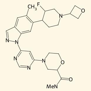 CNC(=O)C1CN(c2cc(-n3ncc4cc(C)c(C5CCN(C6COC6)CC5F)cc43)ncn2)CCO1